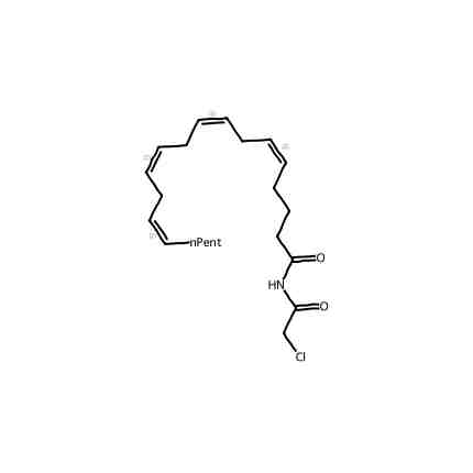 CCCCC/C=C\C/C=C\C/C=C\C/C=C\CCCC(=O)NC(=O)CCl